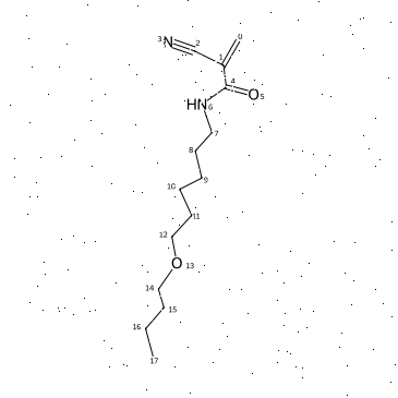 C=C(C#N)C(=O)NCCCCCCOCCCC